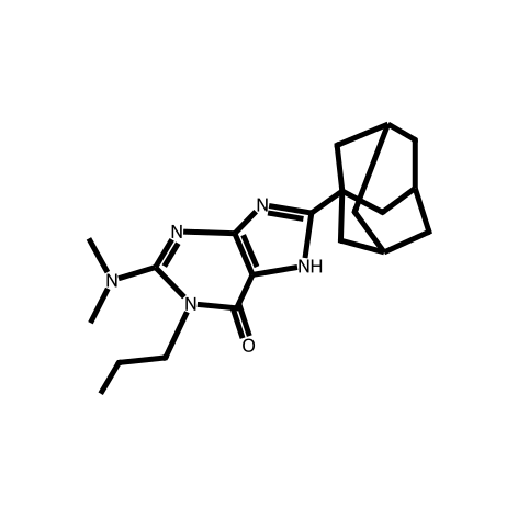 CCCn1c(N(C)C)nc2nc(C34CC5CC(CC(C5)C3)C4)[nH]c2c1=O